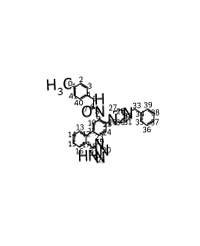 Cc1ccc(CC(=O)Nc2cc(-c3ccccc3-c3nnn[nH]3)ccc2N2CC3CC2CN3Cc2ccccc2)cc1